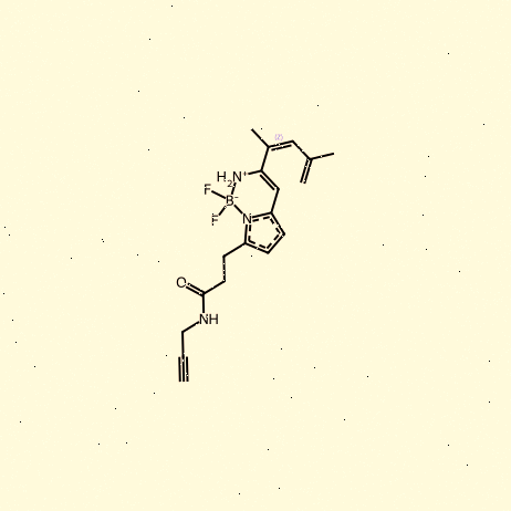 C#CCNC(=O)CCc1ccc2n1[B-](F)(F)[NH2+]C(/C(C)=C\C(=C)C)=C2